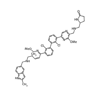 COC/N=C(\C=C/C(C)CNCc1ccc2[nH]c(C)cc2c1)c1cccc(-c2cccc(-c3cnc(CNCC4CCC(=O)N4)c(OC)n3)c2Cl)c1Cl